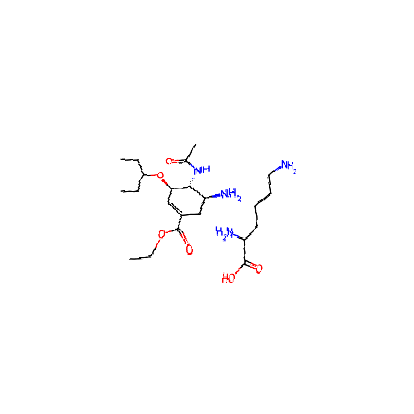 CCOC(=O)C1=C[C@@H](OC(CC)CC)[C@H](NC(C)=O)[C@@H](N)C1.NCCCCC(N)C(=O)O